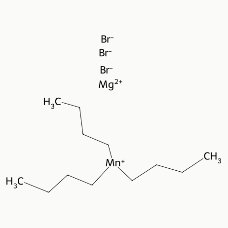 CCC[CH2][Mn+]([CH2]CCC)[CH2]CCC.[Br-].[Br-].[Br-].[Mg+2]